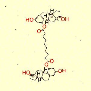 C[C@]12CC[C@@H]3c4c(cc(O)cc4OC(=O)CCCCCCCCC(=O)Oc4cc(O)cc5c4[C@H]4CC[C@]6(C)[C@H](O)CC[C@H]6[C@@H]4CC5)CC[C@H]3[C@@H]1CC[C@H]2O